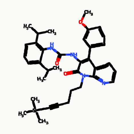 COc1cccc(-c2c(NC(=O)Nc3c(C(C)C)cccc3C(C)C)c(=O)n(CCCC#C[Si](C)(C)C)c3ncccc23)c1